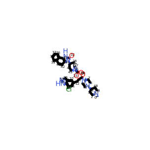 CN1CCC(N2CCN(C(=O)C(Cc3cc(Cl)c4[nH]ncc4c3)OC(=O)N3CCC(n4c(=O)[nH]c5c6ccccc6ccc54)CC3)CC2)CC1